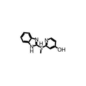 C[SH](c1cc(O)ccn1)c1nc2ccccc2[nH]1